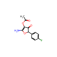 CC(=O)OC1=C(N)OC(c2ccc(F)cc2)C1=O